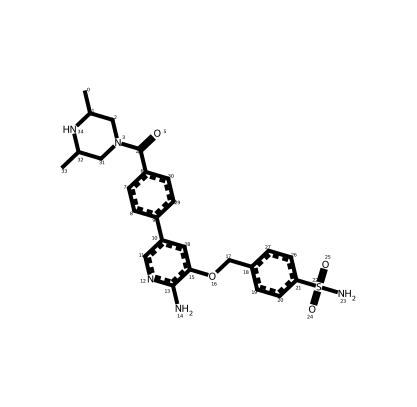 CC1CN(C(=O)c2ccc(-c3cnc(N)c(OCc4ccc(S(N)(=O)=O)cc4)c3)cc2)CC(C)N1